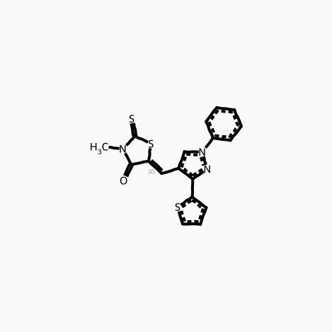 CN1C(=O)/C(=C/c2cn(-c3ccccc3)nc2-c2cccs2)SC1=S